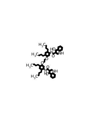 CCCCc1cc(CCCC)c(OCCOc2cc(NC(=O)c3c[nH]c4ccccc4c3=O)c(CCCC)cc2CCCC)cc1NC(=O)c1c[nH]c2ccccc2c1=O